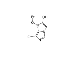 CCOn1c(O)cn2cnc(Cl)c12